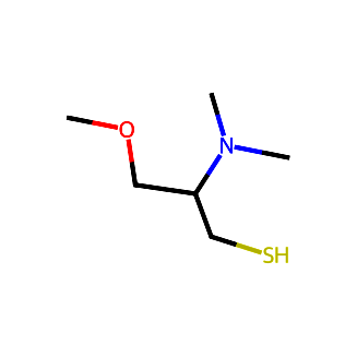 COCC(CS)N(C)C